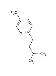 Cc1ccc(CCC(C)C)nc1